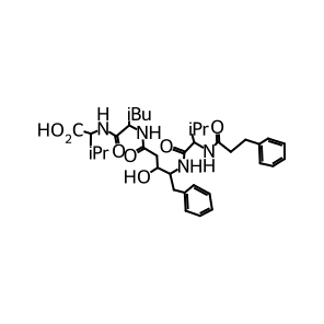 CCC(C)C(NC(=O)CC(O)C(Cc1ccccc1)NC(=O)C(NC(=O)CCc1ccccc1)C(C)C)C(=O)NC(C(=O)O)C(C)C